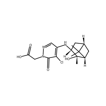 CC1(C)[C@@H]2C[C@@H](Nc3cnn(CC(=O)O)c(=O)c3Cl)[C@@](C)(O)[C@H]1C2